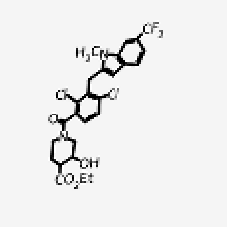 CCOC(=O)C1CCN(C(=O)c2ccc(Cl)c(Cc3cc4ccc(C(F)(F)F)cc4n3C)c2Cl)CC1O